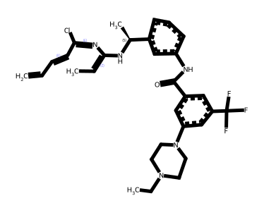 C=C/C=C/C(Cl)=N\C(=C/C)N[C@@H](C)c1cccc(NC(=O)c2cc(N3CCN(CC)CC3)cc(C(F)(F)F)c2)c1